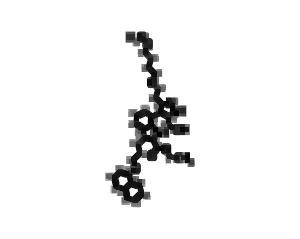 CCOC(=O)c1[nH]c2c(-c3c(CCOCCCCOC)n[nH]c3CO)cccc2c1CCCOc1cccc2ccccc12